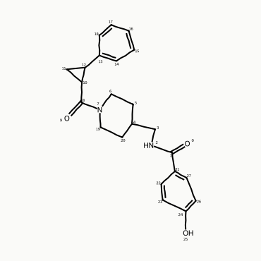 O=C(NCC1CCN(C(=O)C2CC2c2ccccc2)CC1)c1ccc(O)cc1